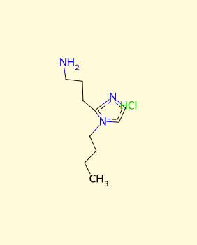 CCCCn1ccnc1CCCN.Cl